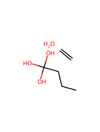 C=C.CCCC(O)(O)O.O